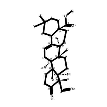 COC(=O)[C@]12CCC(C)(C)CC1C1=CC[C@@H]3[C@@]4(C)CCC(=O)[C@@](C)(C=O)[C@@H]4CC[C@@]3(C)[C@]1(C)CC2